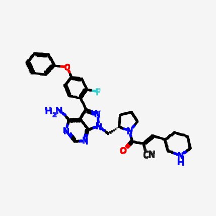 N#C/C(=C\C1CCCNC1)C(=O)N1CCC[C@H]1Cn1nc(-c2ccc(Oc3ccccc3)cc2F)c2c(N)ncnc21